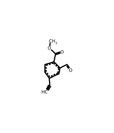 C#Cc1ccc(C(=O)OC)c(C=O)c1